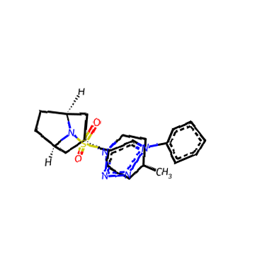 CC1CCN([C@@H]2C[C@H]3CC[C@@H](C2)N3S(=O)(=O)c2cn(-c3ccccc3)nn2)CC1